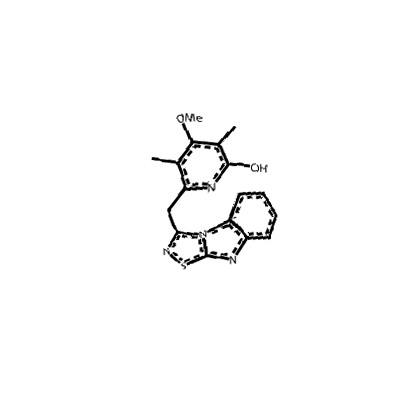 COc1c(C)c(O)nc(Cc2nsc3nc4ccccc4n23)c1C